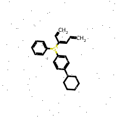 C=C/C=C(\C=C)[S+](c1ccccc1)c1ccc(C2CCCCC2)cc1